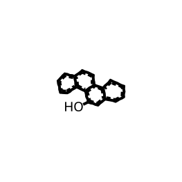 Oc1cc2ccccc2c2ccc3ccccc3c12